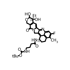 CC[C@]1(O)c2cc3n(c(=O)c2COC1O)Cc1c-3nc2cc(F)c(C)c3c2c1[C@@H](NC(=O)CCCNC(=O)OC(C)(C)C)CC3